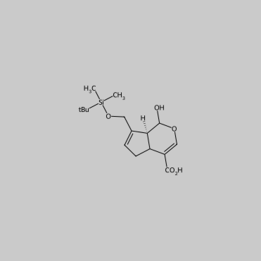 CC(C)(C)[Si](C)(C)OCC1=CCC2C(C(=O)O)=COC(O)[C@H]12